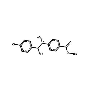 CCC[C@H](c1ccc(C(=O)OC(C)(C)C)cc1)C(O)c1ccc(Cl)cc1